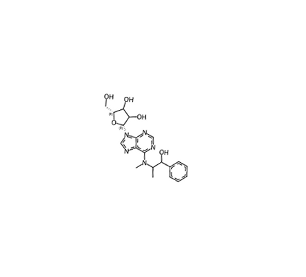 CC(C(O)c1ccccc1)N(C)c1ncnc2c1ncn2[C@@H]1O[C@H](CO)C(O)C1O